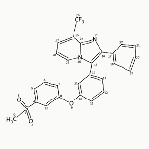 CS(=O)(=O)c1cccc(Oc2cccc(-c3c(-c4ccccc4)nc4c(C(F)(F)F)cccn34)c2)c1